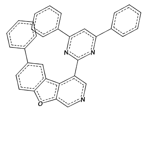 c1ccc(-c2ccc3oc4cncc(-c5nc(-c6ccccc6)cc(-c6ccccc6)n5)c4c3c2)cc1